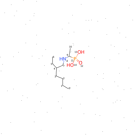 CCCCC(CC)CNC(C)P(=O)(O)O